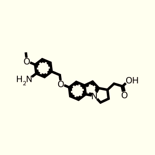 COc1ccc(COc2ccc3c(c2)cc2n3CCC2CC(=O)O)cc1N